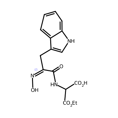 CCOC(=O)C(NC(=O)/C(Cc1c[nH]c2ccccc12)=N\O)C(=O)O